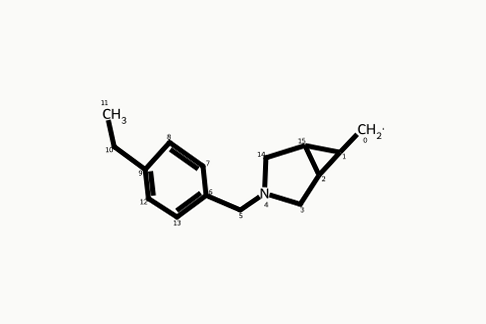 [CH2]C1C2CN(Cc3ccc(CC)cc3)CC12